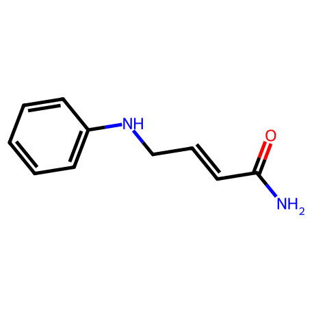 NC(=O)C=CCNc1ccccc1